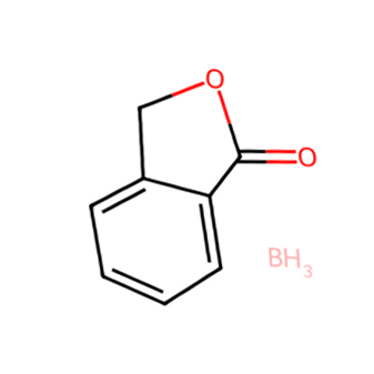 B.O=C1OCc2ccccc21